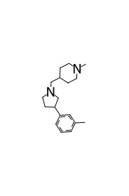 Cc1cccc(C2CCN(CC3CCN(C)CC3)C2)c1